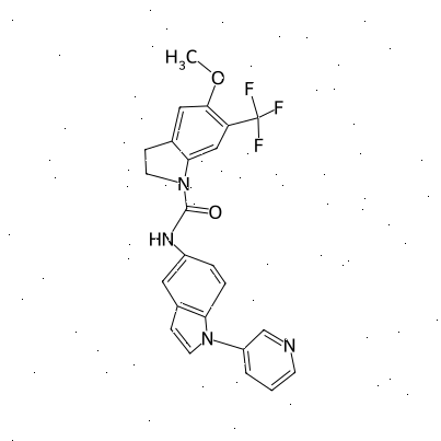 COc1cc2c(cc1C(F)(F)F)N(C(=O)Nc1ccc3c(ccn3-c3cccnc3)c1)CC2